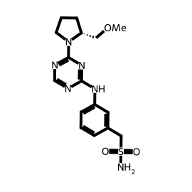 COC[C@H]1CCCN1c1ncnc(Nc2cccc(CS(N)(=O)=O)c2)n1